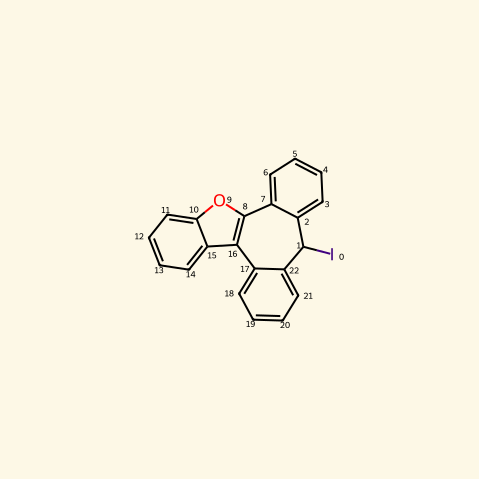 IC1c2ccccc2-c2oc3ccccc3c2-c2ccccc21